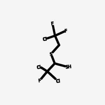 FC(F)(Cl)CSC(S)C(F)(Cl)Cl